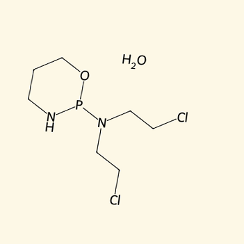 ClCCN(CCCl)P1NCCCO1.O